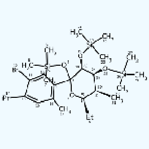 CC[C@H]1OC(O[Si](C)(C)C)(c2cc(Br)c(C(C)C)cc2C)[C@@H](O[Si](C)(C)C)[C@@H](O[Si](C)(C)C)[C@H]1C